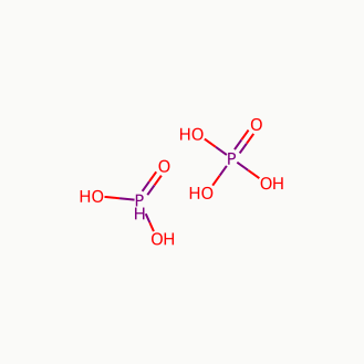 O=P(O)(O)O.O=[PH](O)O